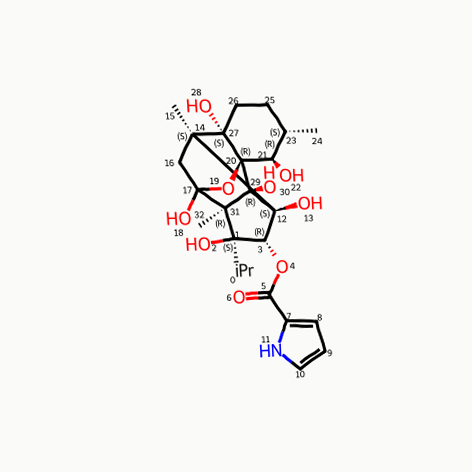 CC(C)[C@@]1(O)[C@@H](OC(=O)c2ccc[nH]2)[C@@]2(O)[C@@]3(C)CC4(O)O[C@@]5([C@H](O)[C@@H](C)CC[C@]35O)[C@@]2(O)[C@]41C